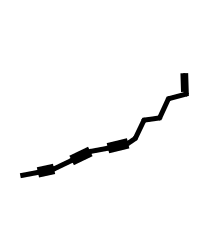 C=CCCCCC#CC#CC#CC